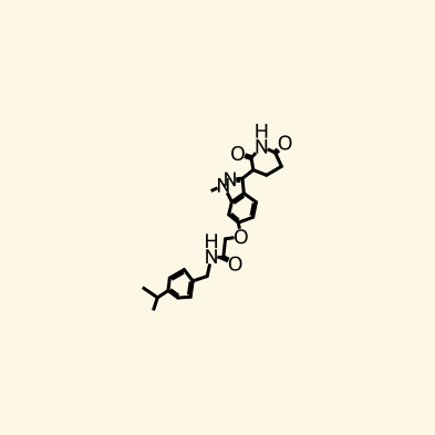 CC(C)c1ccc(CNC(=O)COc2ccc3c(C4CCC(=O)NC4=O)nn(C)c3c2)cc1